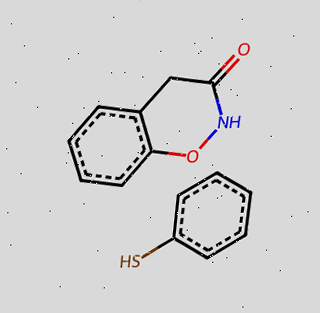 O=C1Cc2ccccc2ON1.Sc1ccccc1